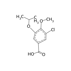 COc1c(Cl)cc(C(=O)O)cc1OC(C)C